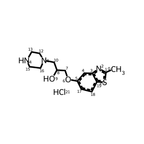 Cc1nc2cc(OCC(O)CN3CCNCC3)ccc2s1.Cl